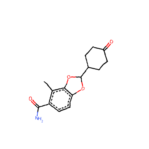 Cc1c(C(N)=O)ccc2c1OC(C1CCC(=O)CC1)O2